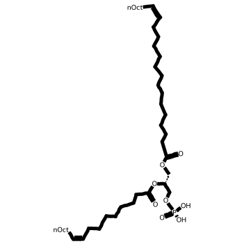 CCCCCCCC/C=C\CCCCCCCCCCCCCC(=O)OC[C@H](COP(=O)(O)O)OC(=O)CCCCCCC/C=C\CCCCCCCC